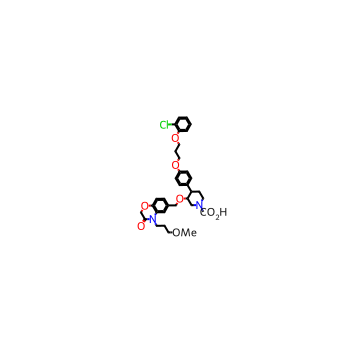 COCCCN1C(=O)COc2ccc(COC3CN(C(=O)O)CCC3c3ccc(OCCCOc4ccccc4Cl)cc3)cc21